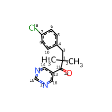 CC(C)(Cc1ccc(Cl)cc1)C(=O)c1cncnc1